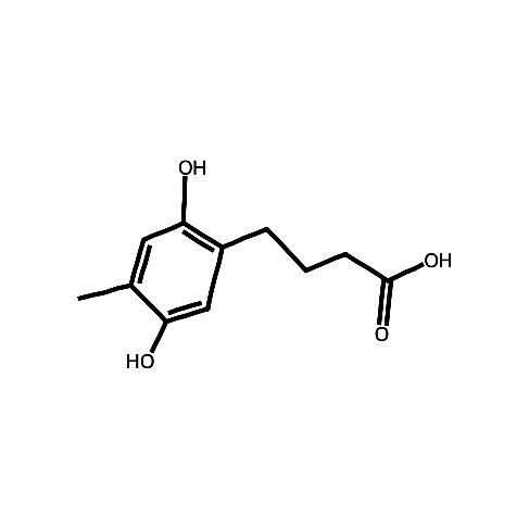 Cc1cc(O)c(CCCC(=O)O)cc1O